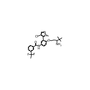 Cn1ncc(Cl)c1-c1cc(NC(=O)c2cccc(C(F)(F)F)c2)ccc1OCCC(N)C(C)(C)C